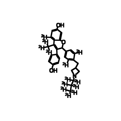 [2H]c1cc(C2Oc3cc(O)cc([2H])c3C(C([2H])([2H])[2H])=C2c2ccc(O)cc2)cc([2H])c1CC1CN(C([2H])([2H])C([2H])([2H])C([2H])([2H])[2H])C1